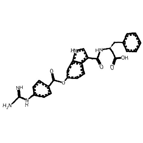 N=C(N)Nc1ccc(C(=O)Oc2ccc3c(C(=O)N[C@@H](Cc4ccccc4)C(=O)O)c[nH]c3c2)cc1